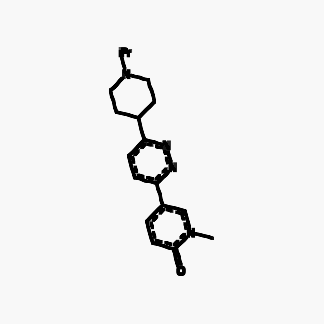 CC(C)N1CCC(c2ccc(-c3ccc(=O)n(C)c3)nn2)CC1